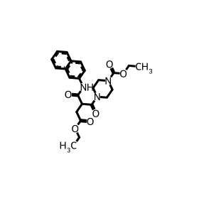 CCOC(=O)CC(C(=O)Nc1ccc2ccccc2c1)C(=O)N1CCN(C(=O)OCC)CC1